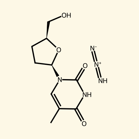 Cc1cn([C@H]2CC[C@@H](CO)O2)c(=O)[nH]c1=O.[N-]=[N+]=N